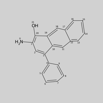 Nc1cc(-c2ccccc2)c2cc3ccccc3cc2c1O